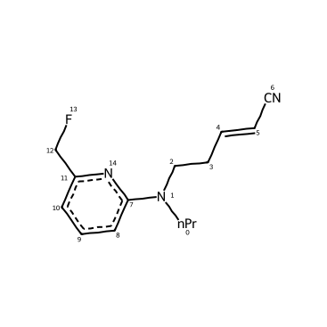 CCCN(CC/C=C/C#N)c1cccc(CF)n1